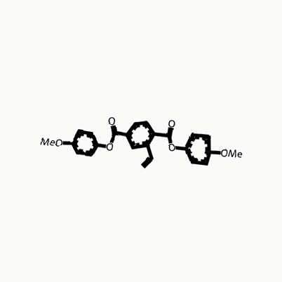 C=Cc1cc(C(=O)Oc2ccc(OC)cc2)ccc1C(=O)Oc1ccc(OC)cc1